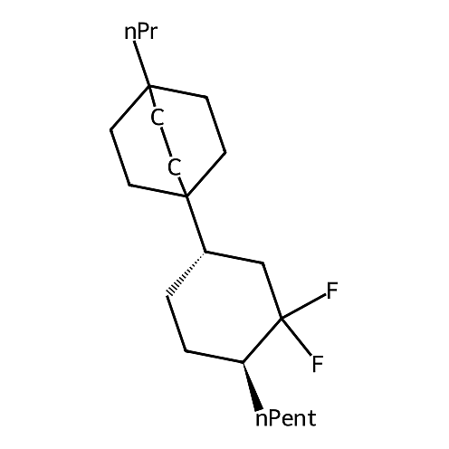 CCCCC[C@H]1CC[C@H](C23CCC(CCC)(CC2)CC3)CC1(F)F